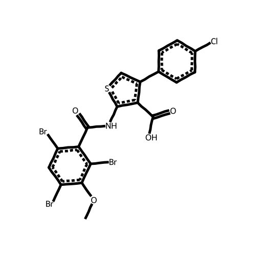 COc1c(Br)cc(Br)c(C(=O)Nc2scc(-c3ccc(Cl)cc3)c2C(=O)O)c1Br